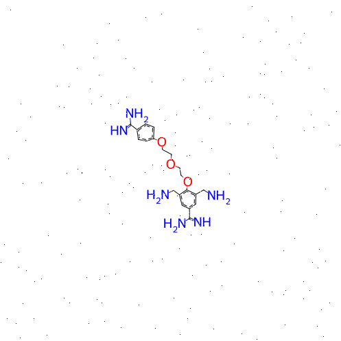 N=C(N)c1ccc(OCCOCCOc2c(CN)cc(C(=N)N)cc2CN)cc1